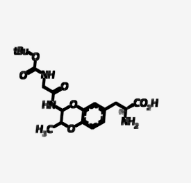 CC1Oc2ccc(C[C@H](N)C(=O)O)cc2OC1NC(=O)CNC(=O)OC(C)(C)C